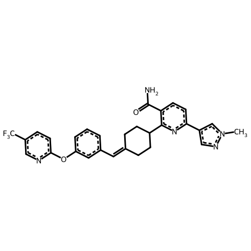 Cn1cc(-c2ccc(C(N)=O)c(C3CCC(=Cc4cccc(Oc5ccc(C(F)(F)F)cn5)c4)CC3)n2)cn1